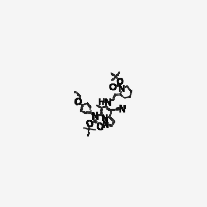 CCOc1ccc(N(C(=O)OC(C)(C)C)c2c(C)c(NCCC3CCCCN3C(=O)OC(C)(C)C)c(C#N)c3ccnn23)cc1